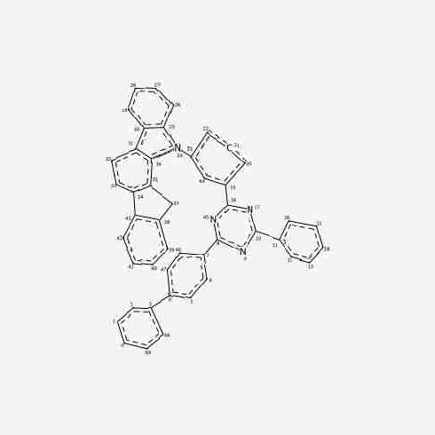 c1ccc(-c2ccc(-c3nc(-c4ccccc4)nc(-c4cccc(-n5c6ccccc6c6ccc7c(c65)Cc5ccccc5-7)c4)n3)cc2)cc1